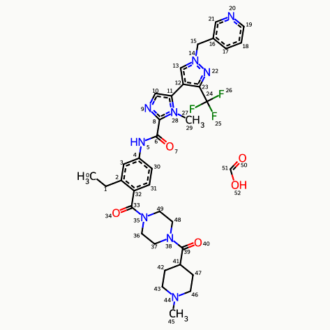 CCc1cc(NC(=O)c2ncc(-c3cn(Cc4cccnc4)nc3C(F)(F)F)n2C)ccc1C(=O)N1CCN(C(=O)C2CCN(C)CC2)CC1.O=CO